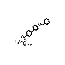 CCCCCCC(OC(=O)c1ccc(-c2ccc(OCc3ccccc3)cc2)cc1)C(F)(F)F